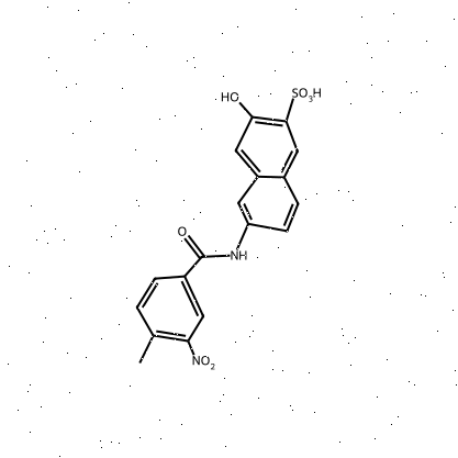 Cc1ccc(C(=O)Nc2ccc3cc(S(=O)(=O)O)c(O)cc3c2)cc1[N+](=O)[O-]